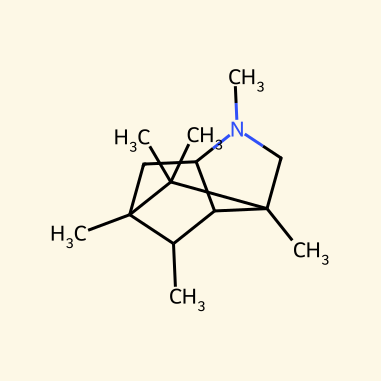 CC1C2C3CC1(C)C(C)(C)C2(C)CN3C